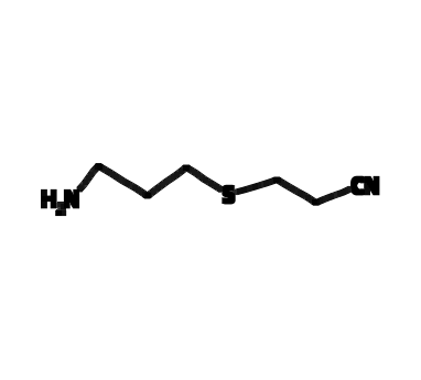 N#CCCSCCCN